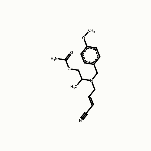 COc1ccc(CN(C/C=C/C#N)C(C)COC(N)=O)cc1